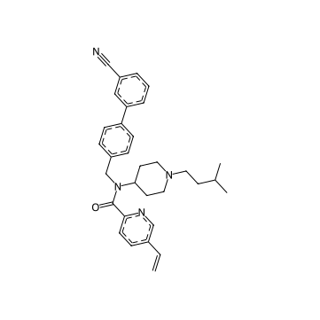 C=Cc1ccc(C(=O)N(Cc2ccc(-c3cccc(C#N)c3)cc2)C2CCN(CCC(C)C)CC2)nc1